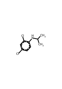 CC(C)Nc1ccc(Cl)cc1Cl